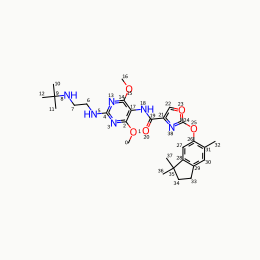 COc1nc(NCCNC(C)(C)C)nc(OC)c1NC(=O)c1coc(Oc2cc3c(cc2C)CCC3(C)C)n1